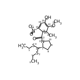 CCSC(SCC)[C@@H]1CCCN1C(=O)C1C([N+](=O)[O-])=CC(O)=C(OC)C1C